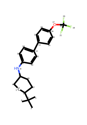 CC(C)(C)C1CCC(Nc2ccc(-c3ccc(OC(F)(F)F)cc3)cc2)CC1